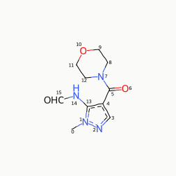 Cn1ncc(C(=O)N2CCOCC2)c1NC=O